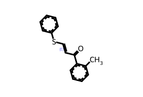 Cc1ccccc1C(=O)/C=C/Sc1ccccc1